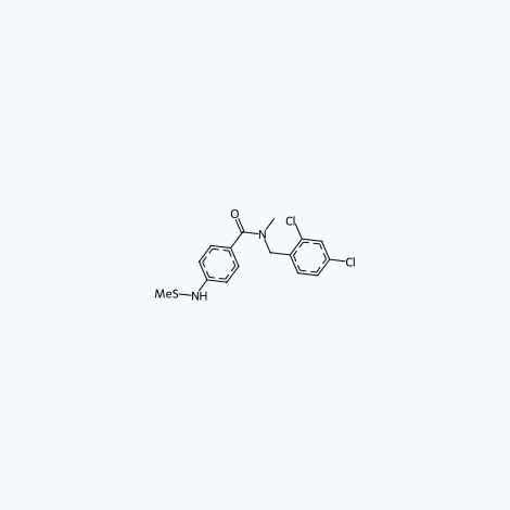 CSNc1ccc(C(=O)N(C)Cc2ccc(Cl)cc2Cl)cc1